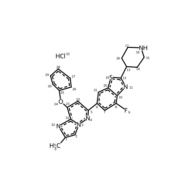 Cc1cn2nc(-c3cc(F)c4nc(C5CCNCC5)sc4c3)cc(Oc3ccccc3)c2n1.Cl